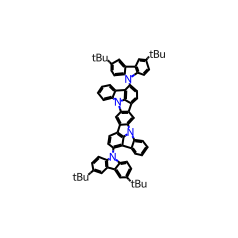 CC(C)(C)c1ccc2c(c1)c1cc(C(C)(C)C)ccc1n2-c1ccc2c3cc4c(cc3n3c5ccccc5c1c23)c1ccc(-n2c3ccc(C(C)(C)C)cc3c3cc(C(C)(C)C)ccc32)c2c3ccccc3n4c12